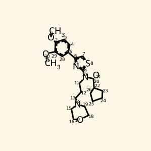 COc1ccc(-c2csc(N(CCCN3CCOCC3)C(=O)C3CCCC3)n2)cc1OC